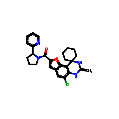 C=C1Nc2c(Cl)cc3cc(C(=O)N4CCCC4c4ccccn4)oc3c2C2(CCCCC2)N1